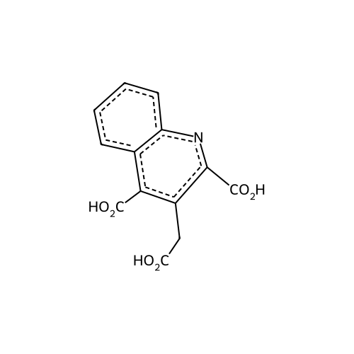 O=C(O)Cc1c(C(=O)O)nc2ccccc2c1C(=O)O